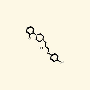 Oc1ccc(OC[C@H](O)CN2CCN(c3ccccc3Cl)CC2)cc1